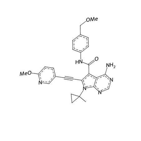 COCc1ccc(NC(=O)c2c(C#Cc3ccc(OC)nc3)n(C3(C)CC3)c3ncnc(N)c23)cc1